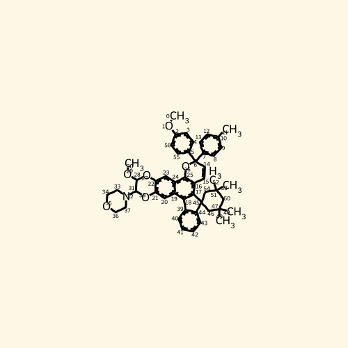 COc1ccc(C2(c3ccc(C)cc3)C=Cc3c4c(c5cc6c(cc5c3O2)OC(OC)C(N2CCOCC2)O6)-c2ccccc2C42CC(C)(C)CC(C)(C)C2)cc1